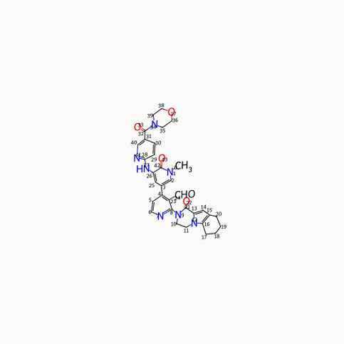 Cn1cc(-c2ccnc(N3CCn4c(cc5c4CCCC5)C3=O)c2C=O)cc(Nc2ccc(C(=O)N3CCOCC3)cn2)c1=O